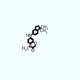 CN1C(=O)COc2cc(Nc3ccc4c(c3)CCC4(C)C)ccc21